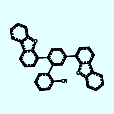 N#Cc1ccccc1-c1cc(-c2cccc3c2oc2ccccc23)ccc1-c1cccc2c1oc1ccccc12